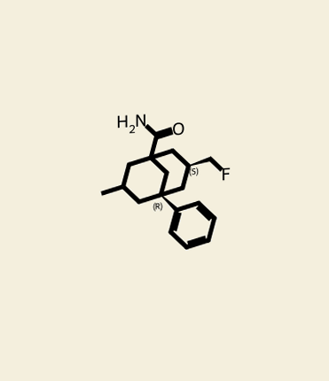 CC1CC2(C(N)=O)C[C@@H](CF)C[C@](c3ccccc3)(C1)C2